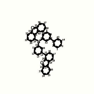 c1ccc(-c2cccc(N(c3cccc(-c4cccc5c4oc4ccccc45)c3)c3cccc4oc5ccccc5c34)c2)cc1